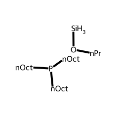 CCCCCCCCP(CCCCCCCC)CCCCCCCC.CCCO[SiH3]